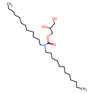 CCCCCCCCCCCCN(CCCCCCCCCCCC)C(=O)OCC(O)CO